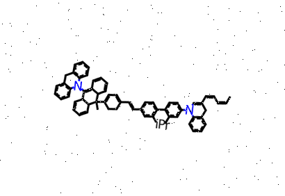 C/C=C\C=C/C1=CN(c2ccc(-c3ccc(/C=C/C4=CC=C(C5(C)C6C=CC=CC6=C(N6c7ccccc7Cc7ccccc76)C6C=CC=CC65)CC4)cc3C(C)C)c(C)c2)c2ccccc2C1